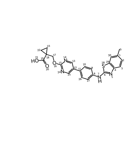 Cc1ccc2nc(Nc3ccc(-c4cnc(OCC5(C(=O)O)CC5)nc4)cc3)sc2c1